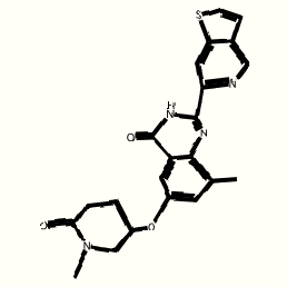 Cc1cc(OC2CCC(=O)N(C)C2)cc2c(=O)[nH]c(-c3cc4sccc4cn3)nc12